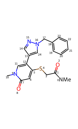 CNC(=O)CSc1cc(=O)n(C)cc1-c1cnn(Cc2ccccc2)c1